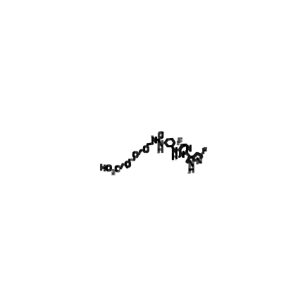 CN(CCOCCOCCOCCC(=O)O)C(=O)N[C@H]1CCC[C@@H](Nc2nc(-c3c[nH]c4ncc(F)cc34)ncc2F)C1